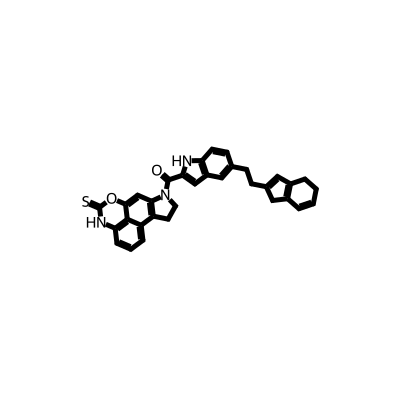 O=C(c1cc2cc(CCC3=CC4=C(C=CCC4)C3)ccc2[nH]1)N1CCc2c1cc1c3c(cccc23)NC(=S)O1